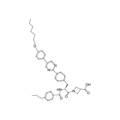 CCCCCCCOc1ccc(-c2cnc(-c3ccc(C[C@H](NC(=O)c4ccc(CCC)cc4)C(=O)N4CC(C(=O)O)C4)cc3)nc2)cc1